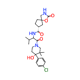 CC(C)C(NC(=O)[C@@H]1CCC2(CNC(=O)O2)C1)C(=O)N1CCC(O)(c2ccc(Cl)cc2)C(C)(C)C1